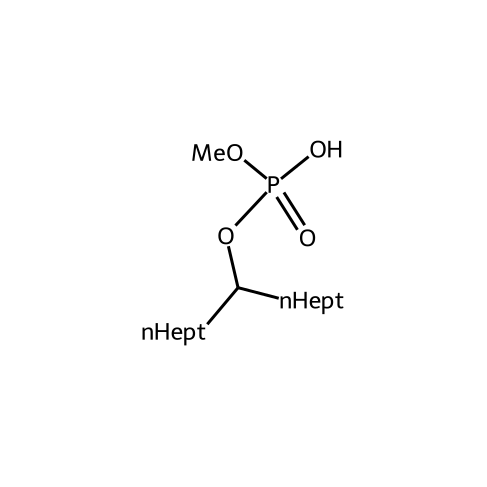 CCCCCCCC(CCCCCCC)OP(=O)(O)OC